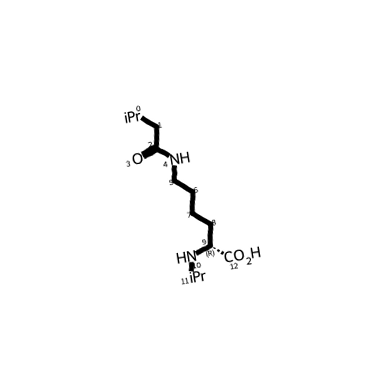 CC(C)CC(=O)NCCCC[C@@H](NC(C)C)C(=O)O